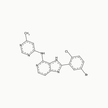 Cc1cc(Nc2nccc3nc(-c4cc(Br)ccc4Cl)[nH]c23)ncn1